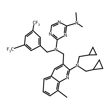 Cc1cccc2cc(CN(Cc3cc(C(F)(F)F)cc(C(F)(F)F)c3)c3ncnc(N(C)C)n3)c(N(CC3CC3)CC3CC3)nc12